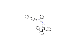 C=C(/N=C(\C/C=C(/C)CC1C2=C(C=C3C=CC=CC3C2)C2=c3ccccc3=C3C=CC=CC3C21)c1ccccc1)c1ccc(C2=CCCC=C2)cc1